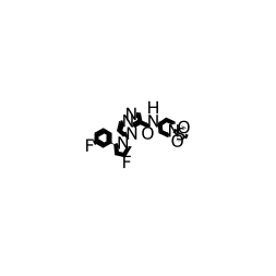 CS(=O)(=O)N1CCC(NC(=O)c2cnn3ccc(N4C[C@@H](F)C[C@@H]4c4cccc(F)c4)nc23)CC1